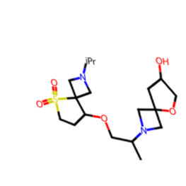 CC(C)N1CC2(C1)C(OCC(C)N1CC3(CC(O)CO3)C1)CCS2(=O)=O